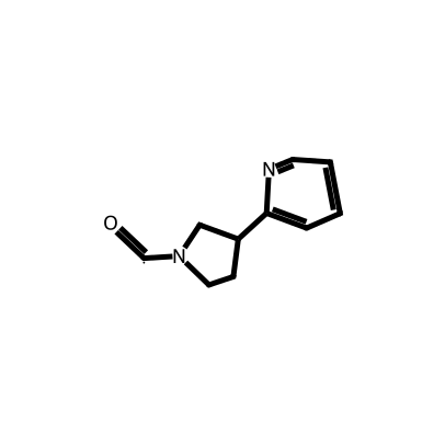 O=[C]N1CCC(c2ccccn2)C1